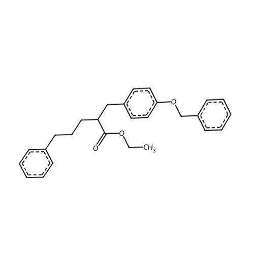 CCOC(=O)C(CCCc1ccccc1)Cc1ccc(OCc2ccccc2)cc1